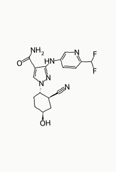 N#C[C@H]1C[C@@H](O)CC[C@@H]1n1cc(C(N)=O)c(Nc2ccc(C(F)F)nc2)n1